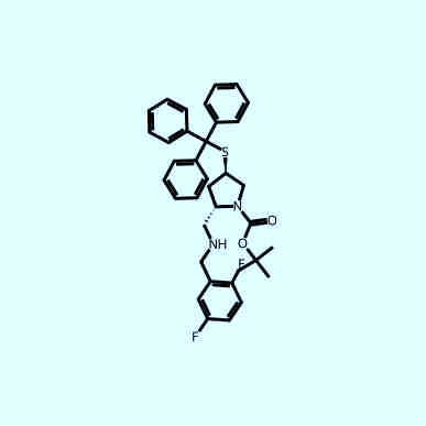 CC(C)(C)OC(=O)N1C[C@H](SC(c2ccccc2)(c2ccccc2)c2ccccc2)C[C@H]1CNCc1cc(F)ccc1F